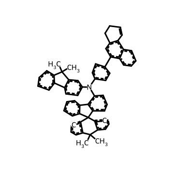 CC1(C)c2ccccc2-c2ccc(N(c3ccc(-c4cc5c(c6ccccc46)C=CCC5)cc3)c3cccc4c3-c3ccccc3C43c4ccccc4C(C)(C)c4ccccc43)cc21